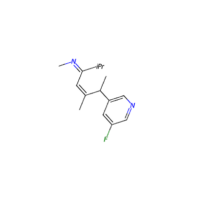 C/N=C(\C=C(\C)C(C)c1cncc(F)c1)C(C)C